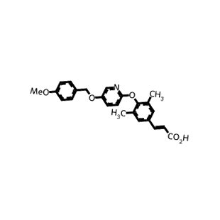 COc1ccc(COc2ccc(Oc3c(C)cc(/C=C/C(=O)O)cc3C)nc2)cc1